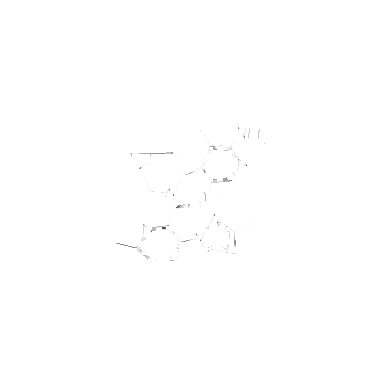 Cc1ccc(-n2ccc(C)n2)c(C(=O)N2CC3CC3CC2c2c(C(F)(F)F)cnc(N)c2C)n1